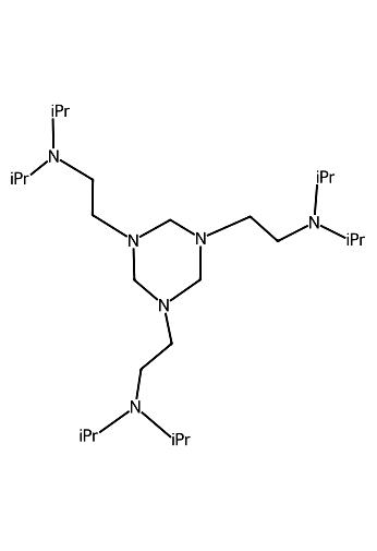 CC(C)N(CCN1CN(CCN(C(C)C)C(C)C)CN(CCN(C(C)C)C(C)C)C1)C(C)C